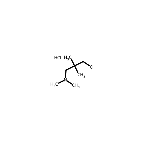 CN(C)CC(C)(C)CCl.Cl